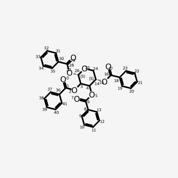 O=C(OC1C(OC(=O)c2ccccc2)[C@@H](OC(=O)c2ccccc2)CO[C@H]1OC(=O)c1ccccc1)c1ccccc1